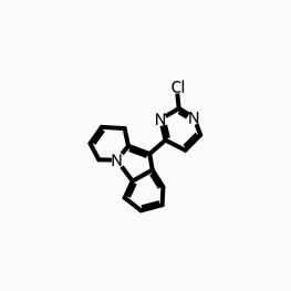 Clc1nccc(-c2c3n(c4ccccc24)CC=CC3)n1